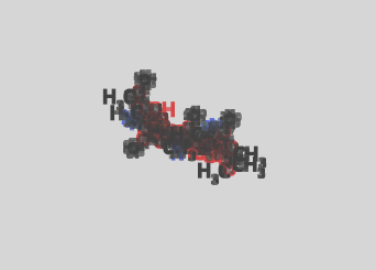 CO[C@H]1OC(COS(=O)(=O)O)[C@@H](O[C@H]2C[C@H](OCc3ccccc3)[C@H](O[C@H]3OC(CO)[C@H](O[C@H]4C[C@H](OCc5ccccc5)[C@H](O[C@H]5OC(COS(=O)(=O)O)[C@@H](O[C@H]6C[C@H](OCc7ccccc7)[C@H](O[C@@H]7OC(CO)[C@H](O[C@H]8C[C@H](OCc9ccccc9)[C@H](C)CO8)[C@H](C)C7N=[N+]=[N-])CO6)[C@H](C)C5N=[N+]=[N-])CO4)[C@H](C)C3N=[N+]=[N-])CO2)[C@H](C)C1C